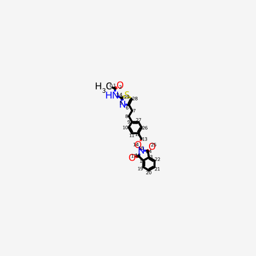 CC(=O)Nc1nc(CCc2ccc(CON3C(=O)c4ccccc4C3=O)cc2)cs1